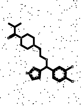 CC(C)C(=O)N1CCN(CCOC(c2ccc(Cl)c(Cl)c2)c2cc[nH]n2)CC1